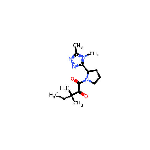 CCC(C)(C)C(=O)C(=O)N1CCCC1c1nnc(C)n1C